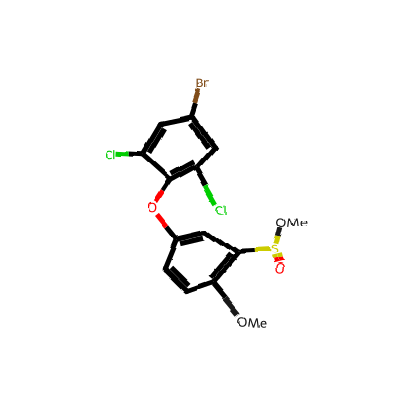 COc1ccc(Oc2c(Cl)cc(Br)cc2Cl)cc1S(=O)OC